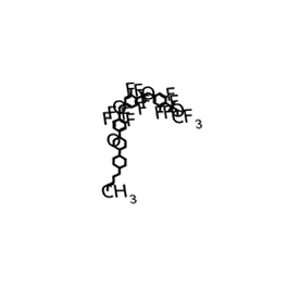 C/C=C/CCC1CCC(C2CCC(c3cc(F)c(C(F)(F)Oc4cc(F)c(C(F)(F)Oc5cc(F)c(C(F)(F)OC(F)(F)F)c(F)c5)c(F)c4)c(F)c3)OC2)CC1